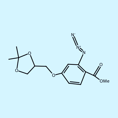 COC(=O)c1ccc(OCC2COC(C)(C)O2)cc1N=[N+]=[N-]